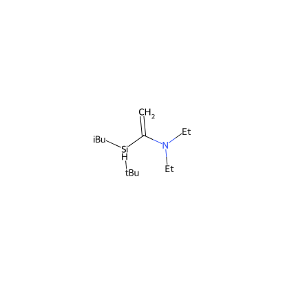 C=C(N(CC)CC)[SiH](C(C)CC)C(C)(C)C